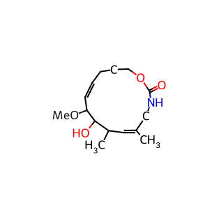 COC1C=CCCCOC(=O)NCC(C)=CC(C)C1O